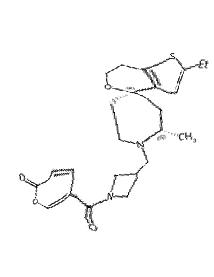 CCc1cc2c(s1)CCO[C@@]21CCN(CC2CN(C(=O)c3ccc(=O)oc3)C2)[C@@H](C)C1